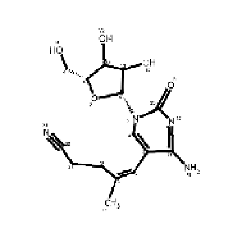 CC(=Cc1cn([C@@H]2O[C@H](CO)C(O)C2O)c(=O)nc1N)CCC#N